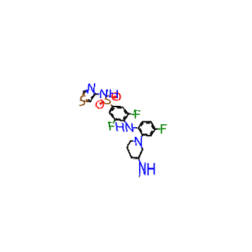 CNC1CCCN(c2cc(F)ccc2Nc2c(F)cc(S(=O)(=O)Nc3cscn3)cc2F)C1